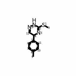 CSC1=NC(c2ccc(C)cc2)C=NN1